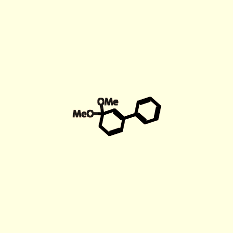 COC1(OC)C=C(c2ccccc2)C=CC1